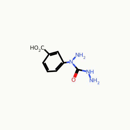 NNC(=O)N(N)c1cccc(C(=O)O)c1